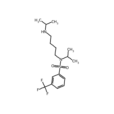 CC(C)NCCCCN(C(C)C)S(=O)(=O)c1cccc(C(F)(F)F)c1